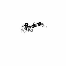 COc1ccc(CN2CCC3(CCN(CCC(NC(=O)C(C)(C)C)c4cccc(Cl)c4)CC3)C2=O)cc1.Cl